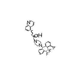 O[C@@H](CSc1cccc2ncccc12)CN1CCN(C2c3ccccc3C(F)C(F)c3c(C4CC4)cccc32)CC1